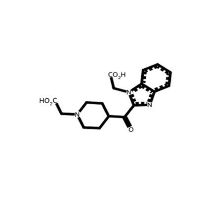 O=C(O)CN1CCC(C(=O)c2nc3ccccc3n2CC(=O)O)CC1